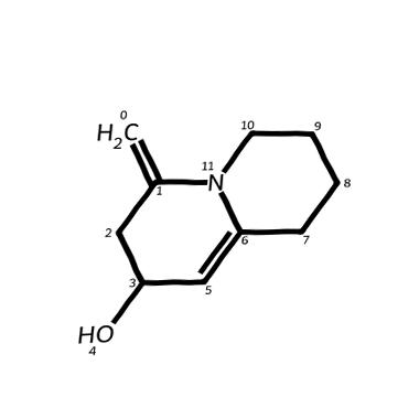 C=C1CC(O)C=C2CCCCN12